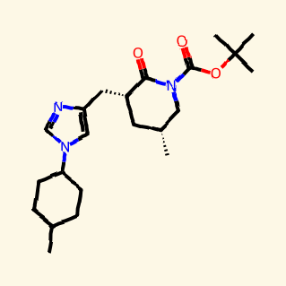 CC1CCC(n2cnc(C[C@H]3C[C@@H](C)CN(C(=O)OC(C)(C)C)C3=O)c2)CC1